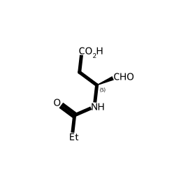 CCC(=O)N[C@H](C=O)CC(=O)O